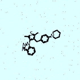 Cc1sc(C)c(-n2nnc3ccccc32)c1Cc1ccc(N2CCCCC2)cc1